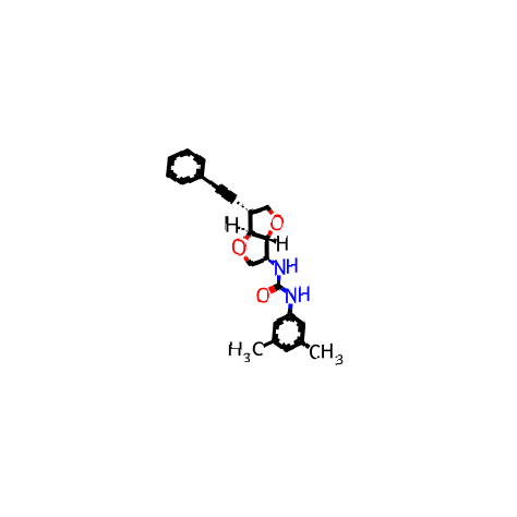 Cc1cc(C)cc(NC(=O)N[C@H]2CO[C@@H]3[C@@H]2OC[C@H]3C#Cc2ccccc2)c1